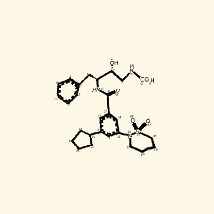 O=C(O)NC[C@@H](O)[C@H](Cc1ccccc1)NC(=O)c1cc(C2CCCC2)cc(N2CCCCS2(=O)=O)c1